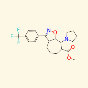 COC(=O)C1CCCC2C(c3ccc(C(F)(F)F)cc3)=NOC2C1N1CCCC1